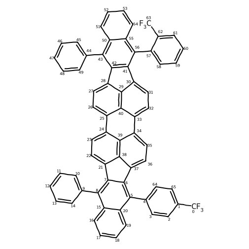 FC(F)(F)c1ccc(-c2c3c(c(-c4ccccc4)c4ccccc24)-c2ccc4c5ccc6c7c(ccc(c8ccc-3c2c48)c75)-c2c-6c(-c3ccccc3)c3ccccc3c2-c2ccccc2C(F)(F)F)cc1